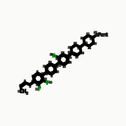 C/C=C\Cc1ccc(-c2ccc(-c3ccc(C4=CCC(C5CCC(CCCCC)CC5)CC4)cc3F)cc2)c(F)c1F